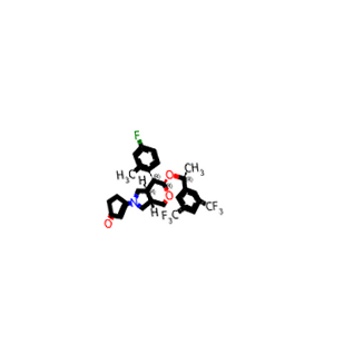 Cc1cc(F)ccc1[C@@H]1[C@@H](O[C@H](C)c2cc(C(F)(F)F)cc(C(F)(F)F)c2)OC[C@@H]2CN(C3=CC(=O)CC3)C[C@H]21